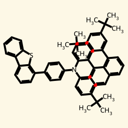 CC(C)(C)c1ccc(N(c2ccc(-c3cccc4c3sc3ccccc34)cc2)c2ccccc2-c2cccc3cccc(-c4cc(C(C)(C)C)cc(C(C)(C)C)c4)c23)cc1